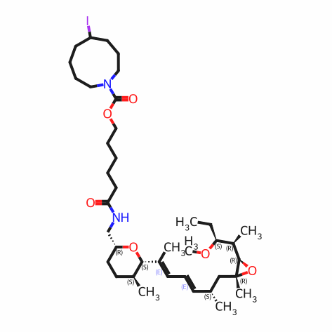 CC[C@H](OC)[C@@H](C)[C@H]1O[C@]1(C)C[C@H](C)/C=C/C=C(\C)[C@H]1O[C@@H](CNC(=O)CCCCCOC(=O)N2CCCCC(I)CCC2)CC[C@@H]1C